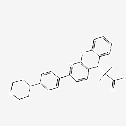 CC(C)(C(N)=O)[C@H]1c2ccccc2Oc2nc(-c3ccc(N4CCOCC4)nc3)ccc21